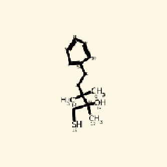 CC(C)(CCc1ccccc1)C(C)(O)CS